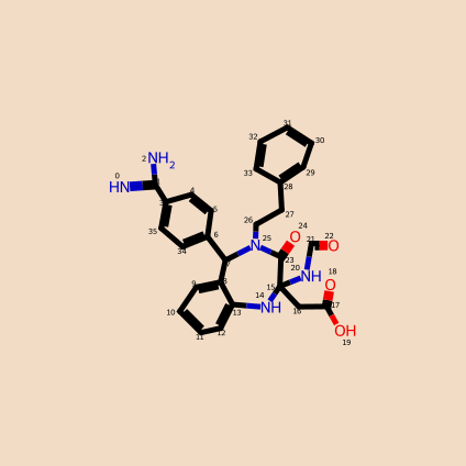 N=C(N)c1ccc(C2c3ccccc3NC(CC(=O)O)(NC=O)C(=O)N2CCc2ccccc2)cc1